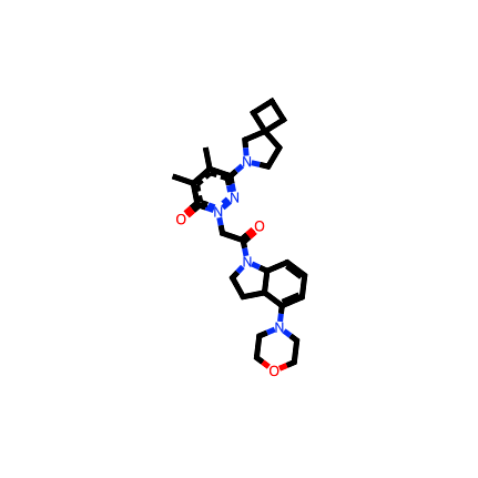 Cc1c(N2CCC3(CCC3)C2)nn(CC(=O)N2CCC3C(N4CCOCC4)=CC=CC32)c(=O)c1C